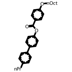 CCCCCCCCOc1ccc(C(=O)Oc2ccc(-c3ccc(CCC)cc3)cc2)cc1